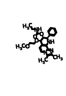 CCNC(=O)O[C@@H]1[C@@H](c2ccccc2)Nc2c(ccn3c(C)c(C)nc23)[C@H]1OCCOC